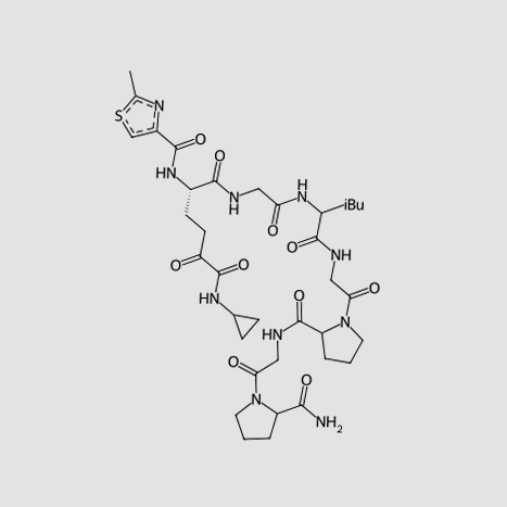 CCC(C)C(NC(=O)CNC(=O)[C@H](CCC(=O)C(=O)NC1CC1)NC(=O)c1csc(C)n1)C(=O)NCC(=O)N1CCCC1C(=O)NCC(=O)N1CCCC1C(N)=O